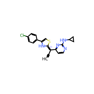 C#C/C(=C1\NC(c2ccc(Cl)cc2)=CS1)c1ccnc(NC2CC2)n1